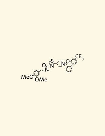 COc1ccc(CCN(C)C(=O)c2csc(C3CCN(C(=O)c4ccccc4-c4ccc(C(F)(F)F)cc4)CC3)n2)cc1OC